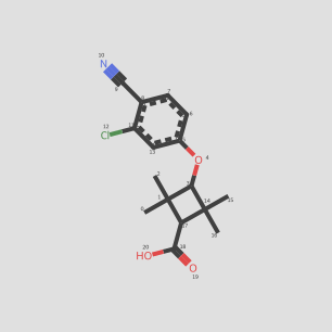 CC1(C)C(Oc2ccc(C#N)c(Cl)c2)C(C)(C)C1C(=O)O